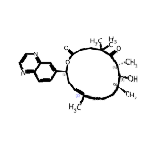 C/C1=C/C[C@@H](c2ccc3nccnc3c2)OC(=O)CCC(C)(C)C(=O)[C@H](C)[C@@H](O)[C@@H](C)CCC1